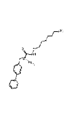 NCCCCCCONC(=O)[C@H](N)Cc1ccc(-c2ccccc2)cc1